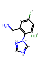 Cl.NCc1cc(F)ccc1-n1cncn1